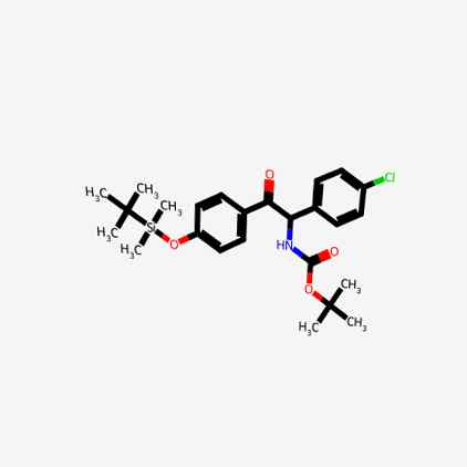 CC(C)(C)OC(=O)NC(C(=O)c1ccc(O[Si](C)(C)C(C)(C)C)cc1)c1ccc(Cl)cc1